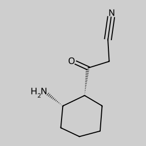 N#CCC(=O)[C@@H]1CCCC[C@@H]1N